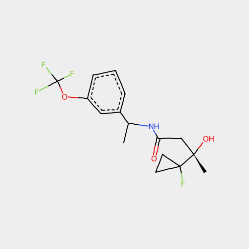 CC(NC(=O)C[C@](C)(O)C1(F)CC1)c1cccc(OC(F)(F)F)c1